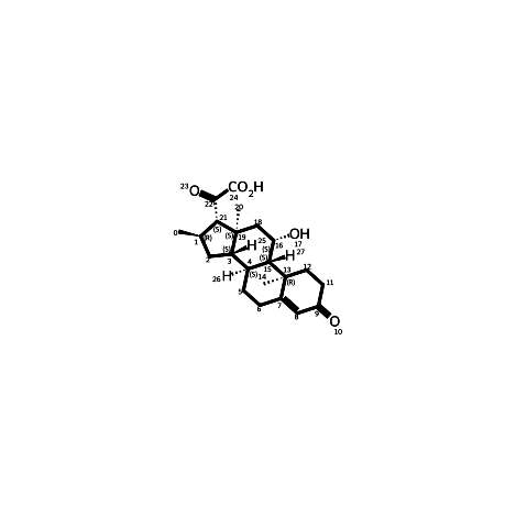 C[C@@H]1C[C@H]2[C@@H]3CCC4=CC(=O)CC[C@]4(C)[C@H]3[C@@H](O)C[C@]2(C)[C@H]1C(=O)C(=O)O